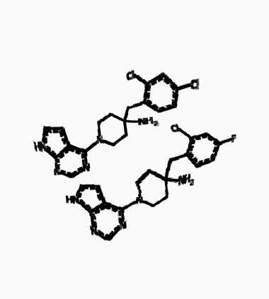 NC1(Cc2ccc(Cl)cc2Cl)CCN(c2ncnc3[nH]ccc23)CC1.NC1(Cc2ccc(F)cc2Cl)CCN(c2ncnc3[nH]ccc23)CC1